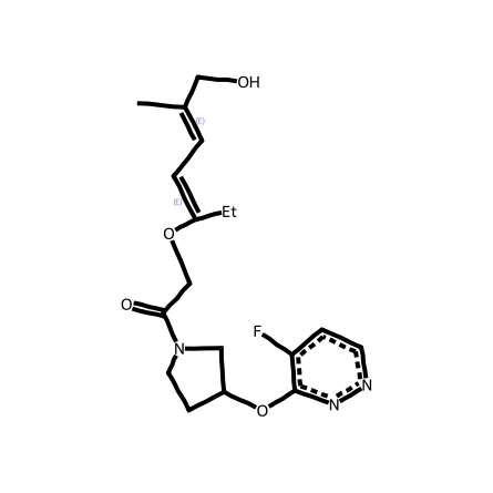 CC/C(=C\C=C(/C)CO)OCC(=O)N1CCC(Oc2nnccc2F)C1